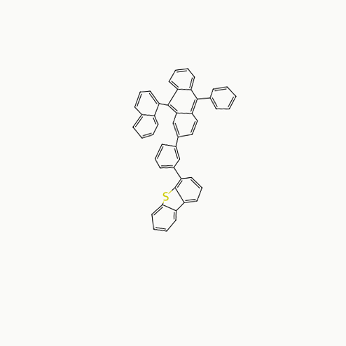 c1ccc(-c2c3ccccc3c(-c3cccc4ccccc34)c3cc(-c4cccc(-c5cccc6c5sc5ccccc56)c4)ccc23)cc1